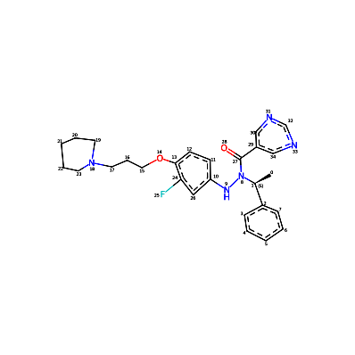 C[C@@H](c1ccccc1)N(Nc1ccc(OCCCN2CCCCC2)c(F)c1)C(=O)c1cncnc1